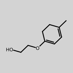 CC1=CC=C(OCCO)CC1